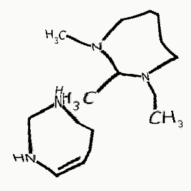 C1=CNCNC1.CC1N(C)CCCN1C